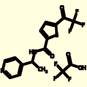 CC(NC(=O)c1ccc(C(=O)C(F)(F)F)s1)c1ccncc1.O=C(O)C(F)(F)F